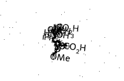 COCCCOc1cc(CC(CC(NC(=O)OC(C)(C)C)C(O)CC(C)C(=O)O)C(C)C)ccc1OCC(=O)O